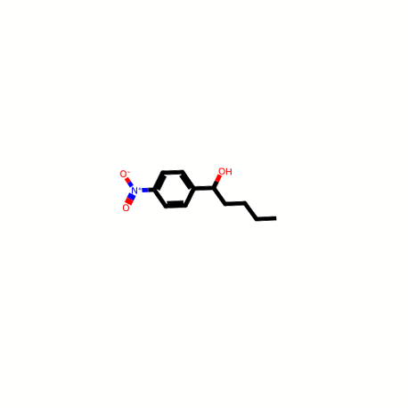 CCCCC(O)c1ccc([N+](=O)[O-])cc1